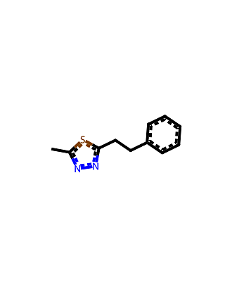 Cc1nnc(CCc2ccccc2)s1